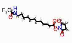 O=C(CCCCCCCCCCCNC(=O)C(F)(F)F)ON1C(=O)CCC1=O